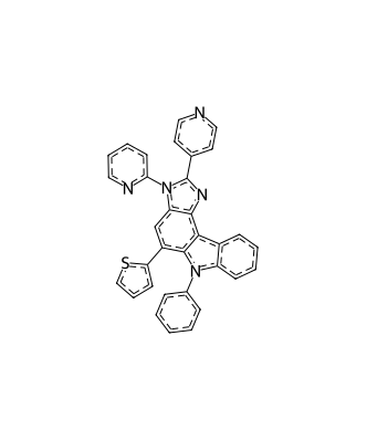 c1ccc(-n2c3ccccc3c3c4nc(-c5ccncc5)n(-c5ccccn5)c4cc(-c4cccs4)c32)cc1